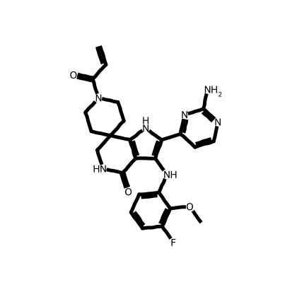 C=CC(=O)N1CCC2(CC1)CNC(=O)c1c2[nH]c(-c2ccnc(N)n2)c1Nc1cccc(F)c1OC